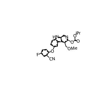 COCc1c(OC(=O)OC(C)C)ncc2[nH]c3ccc(Oc4ccc(F)cc4C#N)cc3c12